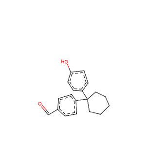 O=Cc1ccc(C2(c3ccc(O)cc3)CCCCC2)cc1